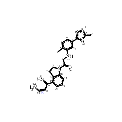 Cc1nsc(-c2ccc(C)c(NCC(=O)N3CCc4c(C(=N)/C=C\N)cccc43)c2)n1